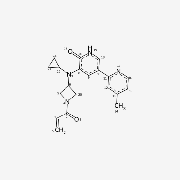 C=CC(=O)N1CC(N(c2cc(-c3cc(C)ccn3)c[nH]c2=O)C2CC2)C1